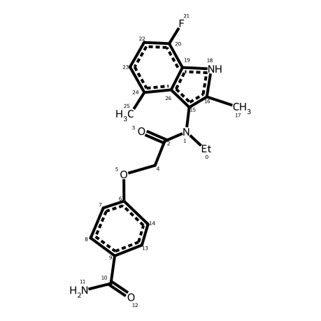 CCN(C(=O)COc1ccc(C(N)=O)cc1)c1c(C)[nH]c2c(F)ccc(C)c12